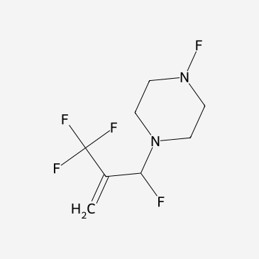 C=C(C(F)N1CCN(F)CC1)C(F)(F)F